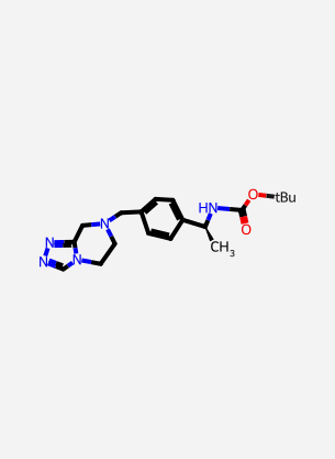 C[C@H](NC(=O)OC(C)(C)C)c1ccc(CN2CCn3cnnc3C2)cc1